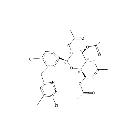 CC(=O)OC[C@H]1O[C@@H](c2ccc(Cl)c(Cc3cc(C)c(Cl)nn3)c2)[C@H](OC(C)=O)[C@@H](OC(C)=O)[C@@H]1OC(C)=O